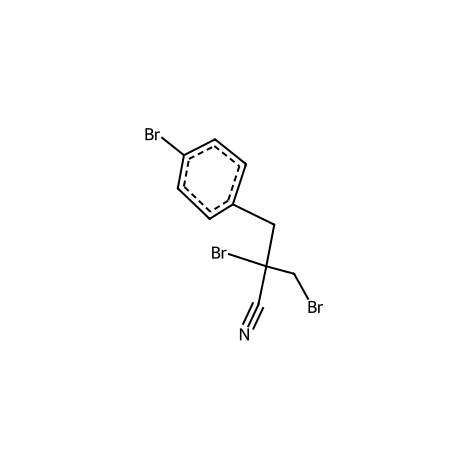 N#CC(Br)(CBr)Cc1ccc(Br)cc1